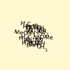 COc1nc(NC(C)(C)CC(C)(C)C)nc(N(CCN(c2nc(NC(C)(C)CC(C)(C)C)nc(OC)n2)C2CC(C)(C)NC(C)(C)C2)C2CC(C)(C)NC(C)(C)C2)n1